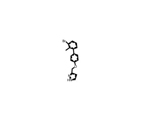 Cc1c(Br)cccc1-c1ccc(OCc2cc[nH]n2)cc1